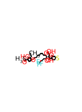 CCCc1c(OCCCC/C=C\C=C\[C@@H](c2c(C(=O)O)oc3c(c2=O)=CCC(=S)C=3)[C@H](O)CCCC(F)(F)F)ccc(C(C)=O)c1O